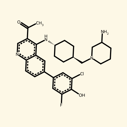 CC(=O)c1cnc2ccc(-c3cc(F)c(O)c(Cl)c3)cc2c1N[C@H]1CC[C@H](CN2CCCC(N)C2)CC1